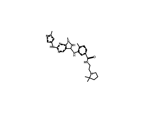 Cc1ccc(C(=O)NCCN2CCCC2(C)C)cc1NC1NN(C)c2nc(Nc3cnn(C)c3)ncc21